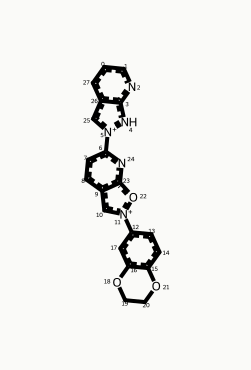 c1cnc2[nH][n+](-c3ccc4c[n+](-c5ccc6c(c5)OCCO6)oc4n3)cc2c1